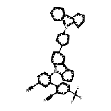 N#Cc1ccc(-n2c3ccccc3c3cc(-c4ccc(-n5c6ccccc6c6ccccc65)cc4)ccc32)c(-c2ccc(C(F)(F)F)cc2C#N)c1